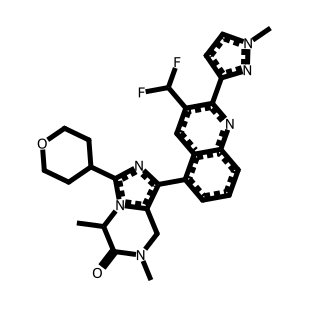 CC1C(=O)N(C)Cc2c(-c3cccc4nc(-c5ccn(C)n5)c(C(F)F)cc34)nc(C3CCOCC3)n21